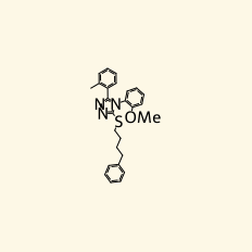 COc1ccccc1-n1c(SCCCCc2ccccc2)nnc1-c1ccccc1C